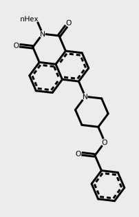 CCCCCCN1C(=O)c2cccc3c(N4CCC(OC(=O)c5ccccc5)CC4)ccc(c23)C1=O